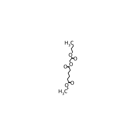 CCCCOC(=O)COC(=O)CCCCC(=O)OCC